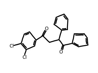 O=C(CC(C(=O)c1ccccc1)c1ccccc1)c1ccc(Cl)c(Cl)c1